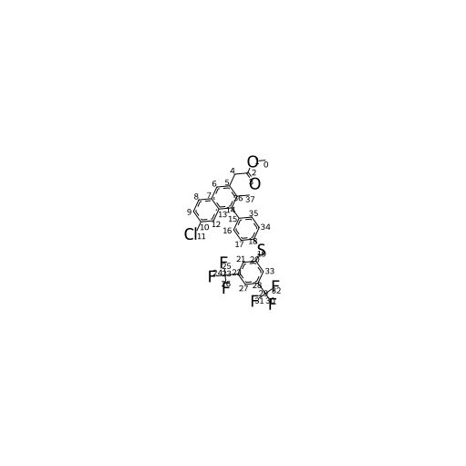 COC(=O)Cc1cc2ccc(Cl)cc2c(-c2ccc(Sc3cc(C(F)(F)F)cc(C(F)(F)F)c3)cc2)c1C